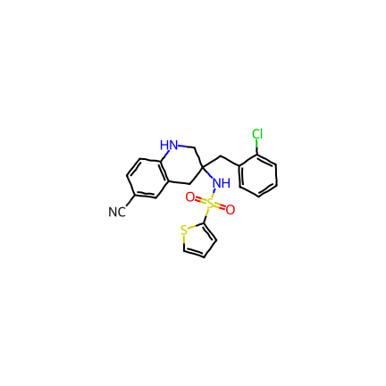 N#Cc1ccc2c(c1)CC(Cc1ccccc1Cl)(NS(=O)(=O)c1cccs1)CN2